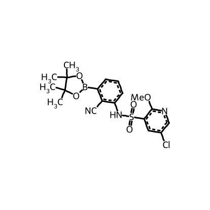 COc1ncc(Cl)cc1S(=O)(=O)Nc1cccc(B2OC(C)(C)C(C)(C)O2)c1C#N